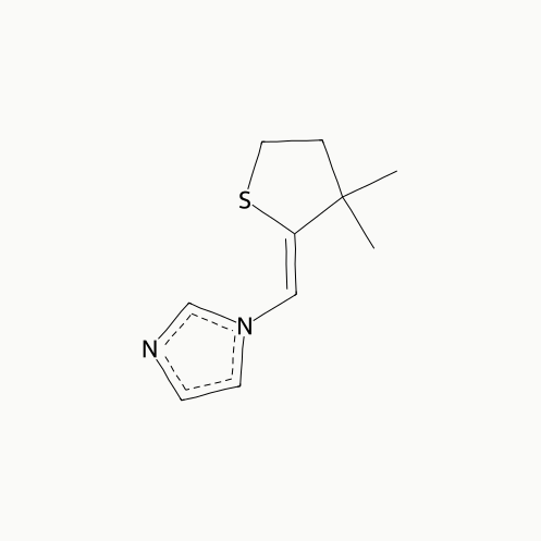 CC1(C)CCSC1=Cn1ccnc1